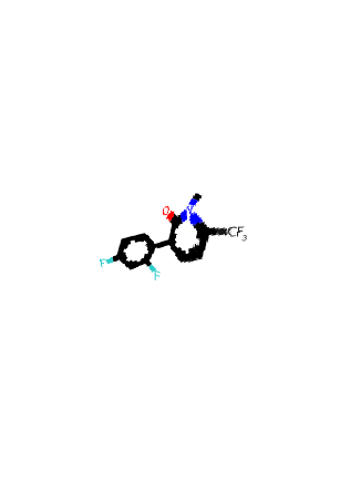 Cn1c(C(F)(F)F)ccc(-c2ccc(F)cc2F)c1=O